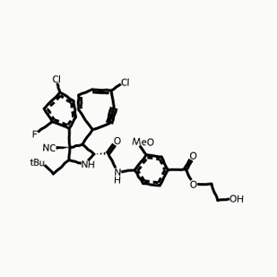 COc1cc(C(=O)OCCO)ccc1NC(=O)[C@@H]1NC(CC(C)(C)C)[C@](C#N)(c2ccc(Cl)cc2F)C1C1C#CC(Cl)=CC=C1